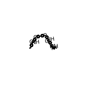 CCc1ccc(C(=O)Nc2ccc(Oc3ccc(-c4ccc(Oc5ccc(NC(=O)c6ccc(C[N+](C)(C)B[N+](C)(C)C(C)(C)CC)cc6)cc5)cc4)cc3)cc2)cc1